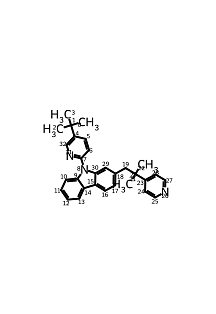 CC(C)(C)c1ccc(-n2c3ccccc3c3ccc(CC(C)(C)c4ccncc4)cc32)nc1